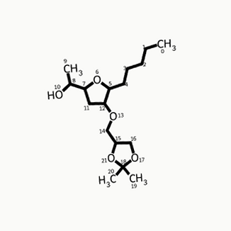 CCCCCC1OC(C(C)O)CC1OCC1COC(C)(C)O1